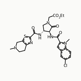 CCOC(=O)CN1C[C@@H](NC(=O)c2nc3c(s2)CN(C)CC3)[C@H](NC(=O)c2cc3cc(Cl)ccc3n2C)C1=O